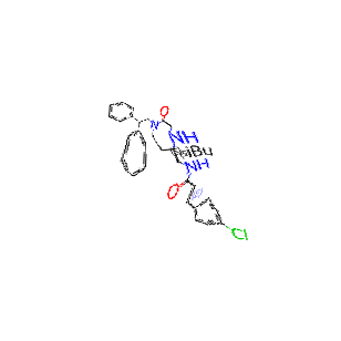 CC[C@H](C)[C@]1(CNC(=O)/C=C/c2ccc(Cl)cc2)CCN(CC(c2ccccc2)c2ccccc2)C(=O)CN1